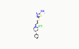 Cl.Nc1nnc(SCCCN2CC=C(c3ccccc3)CC2)s1